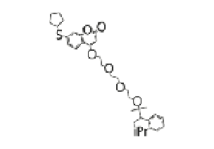 CC(C)CC(c1ccccc1)C(C)(C)OCCOCCOCCOc1cc(=O)oc2cc(SC3CCCC3)ccc12